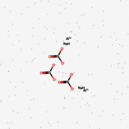 O=[Si]([O-])[O-].O=[Si]([O-])[O-].O=[Si]([O-])[O-].[Al+3].[Al+3].[NaH].[NaH]